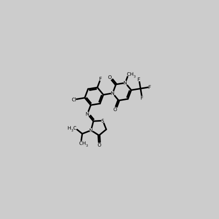 CC(C)N1C(=O)CSC1=Nc1cc(-n2c(=O)cc(C(F)(F)F)n(C)c2=O)c(F)cc1Cl